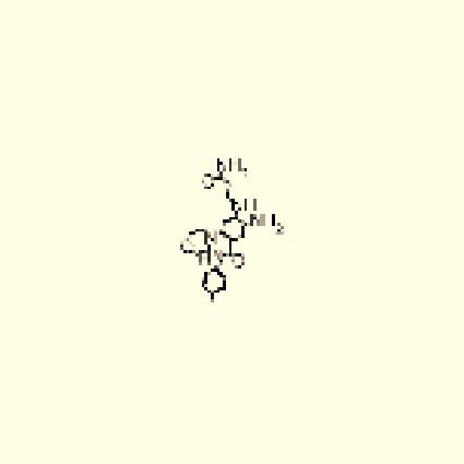 Cc1ccc(NC(=O)c2cc(N)c(NCCC(N)=O)cc2N2CCOCC2)cc1